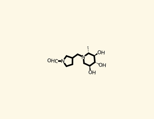 C[C@@H]1[C@@H](O)[C@H](O)[C@@H](O)CN1CC1CCN(C=O)C1